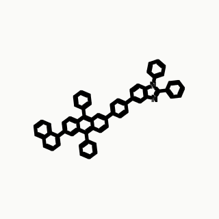 c1ccc(-c2c3ccc(-c4cccc5ccccc45)cc3c(-c3ccccc3)c3ccc(-c4ccc(-c5ccc6c(c5)nc(-c5ccccc5)n6-c5ccccc5)cc4)cc23)cc1